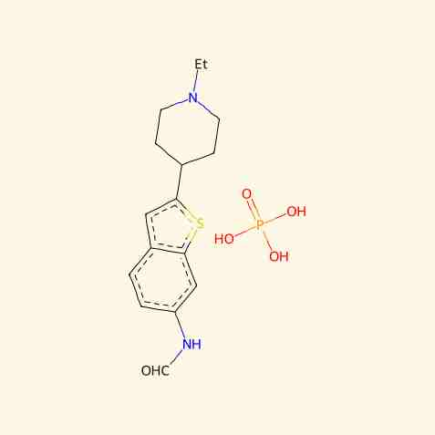 CCN1CCC(c2cc3ccc(NC=O)cc3s2)CC1.O=P(O)(O)O